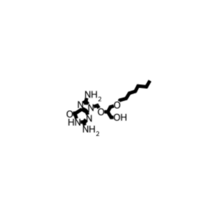 CCCCCCCOCC(CO)OCn1c(N)nc2c(=O)[nH]c(N)nc21